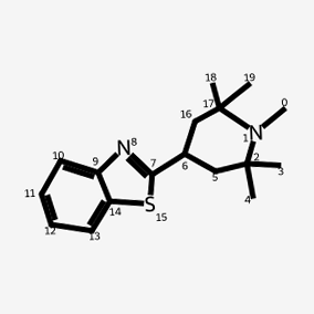 CN1C(C)(C)CC(c2nc3ccccc3s2)CC1(C)C